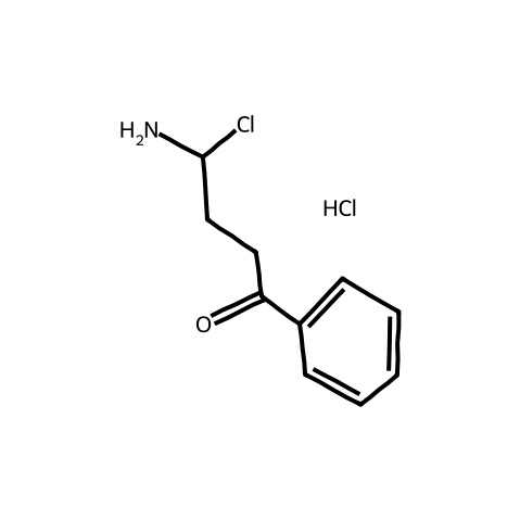 Cl.NC(Cl)CCC(=O)c1ccccc1